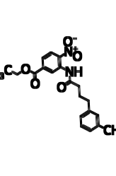 CCOC(=O)c1ccc([N+](=O)[O-])c(NC(=O)CCCc2cccc(C)c2)c1